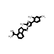 Cc1ccc(-c2cn(N=C3CCc4c(C(=N)N)cccc43)c(N)n2)c(C)c1